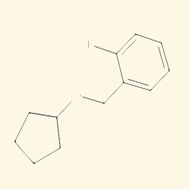 Fc1ccccc1COC1CCCC1